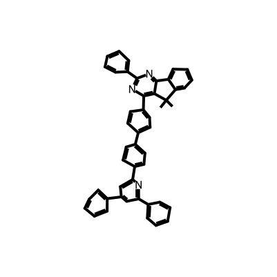 CC1(C)c2ccccc2-c2nc(-c3ccccc3)nc(-c3ccc(-c4ccc(-c5cc(-c6ccccc6)cc(-c6ccccc6)n5)cc4)cc3)c21